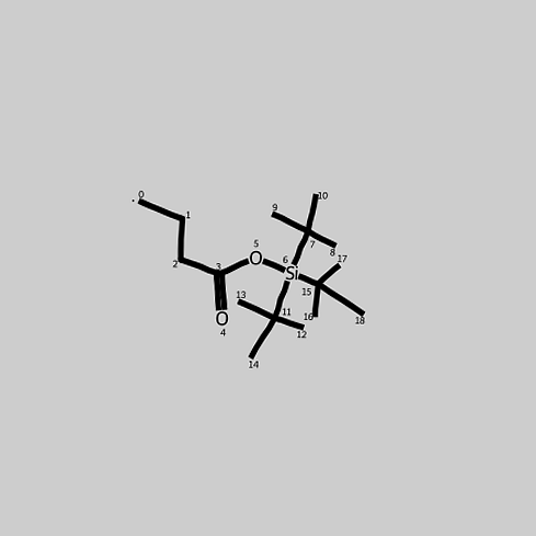 [CH2]CCC(=O)O[Si](C(C)(C)C)(C(C)(C)C)C(C)(C)C